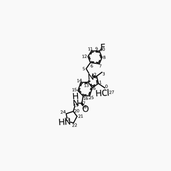 Cc1c(C)n(Cc2ccc(F)cc2)c2ccc(C(=O)NC3CCNC3)cc12.Cl